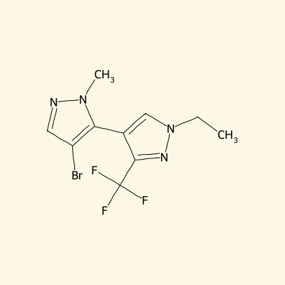 CCn1cc(-c2c(Br)cnn2C)c(C(F)(F)F)n1